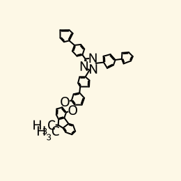 CC1(C)c2ccccc2-c2c1ccc1c2Oc2ccc(-c3ccc(-c4nc(-c5ccc(-c6ccccc6)cc5)nc(-c5ccc(-c6ccccc6)cc5)n4)cc3)cc2O1